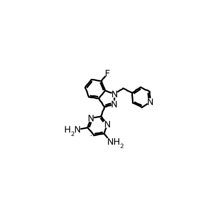 Nc1[c]c(N)nc(-c2nn(Cc3ccncc3)c3c(F)cccc23)n1